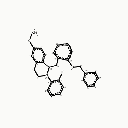 COc1ccc2c(c1)CCN(c1ccccc1F)C2Cc1ccccc1OCc1ccccc1